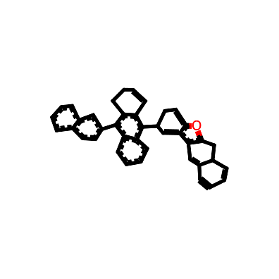 C1#CC2=Cc3c(oc4c3=CC(c3c5c(c(-c6ccc7ccccc7c6)c6ccccc36)CCC=C5)CC=4)CC2C=C1